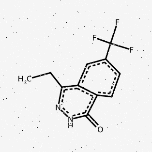 CCc1n[nH]c(=O)c2ccc(C(F)(F)F)cc12